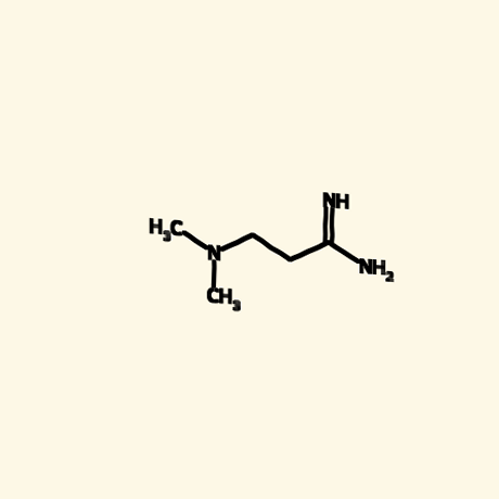 CN(C)CCC(=N)N